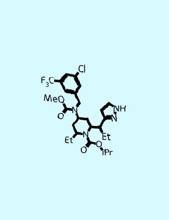 CCC(c1cc[nH]n1)C1CC(N(Cc2cc(Cl)cc(C(F)(F)F)c2)C(=O)OC)CC(CC)N1C(=O)OC(C)C